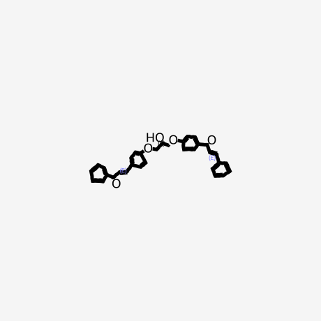 O=C(/C=C/c1ccc(OC[C@@H](O)COc2ccc(C(=O)/C=C/c3ccccc3)cc2)cc1)c1ccccc1